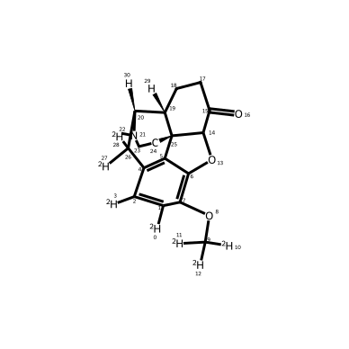 [2H]c1c([2H])c2c3c(c1OC([2H])([2H])[2H])OC1C(=O)CC[C@H]4[C@H](N(C)CC[C@]314)C2([2H])[2H]